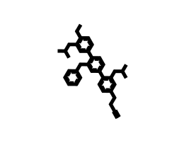 C#CCCc1ccc(-c2ccc(-c3ccc(CC)c(CC(C)C)c3)c(Cc3ccccc3)c2)c(CC(C)C)c1